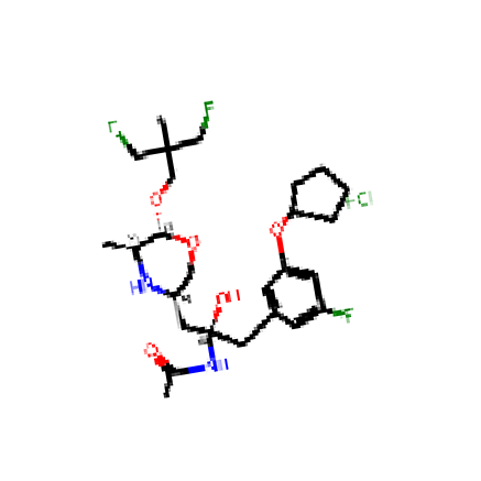 CC(=O)N[C@@](O)(Cc1cc(F)cc(OC2CCCC2)c1)C[C@@H]1CO[C@@H](OCC(C)(CF)CF)[C@H](C)N1.Cl